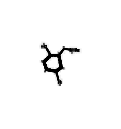 CCc1ccc(O)c(CNC(C)=O)c1